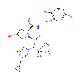 CC(C)(C)[C@@H](C(=O)N1C[C@H](O)C[C@H]1C(=O)NCCc1cc(Cl)ccc1Cl)n1cc(C2CC2)nn1